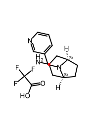 NC1C[C@H]2CC[C@@H](C1)N2Cc1cccnc1.O=C(O)C(F)(F)F